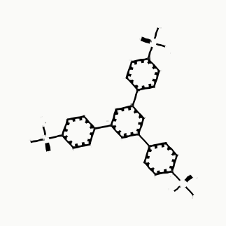 CP(=O)(O)c1ccc(-c2cc(-c3ccc(P(C)(=O)O)cc3)cc(-c3ccc(P(C)(=O)O)cc3)c2)cc1